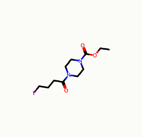 CCOC(=O)N1CCN(C(=O)CCCI)CC1